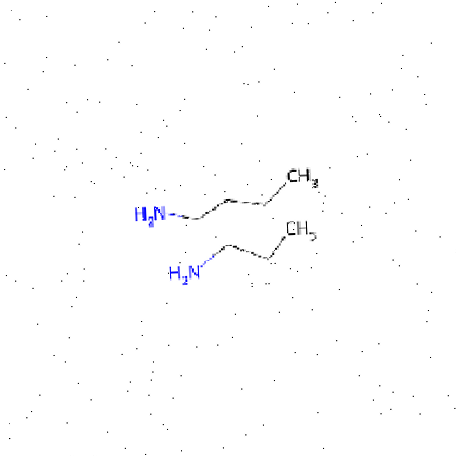 CCCCN.CCCN